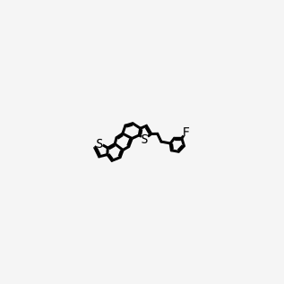 Fc1cccc(CCc2cc3ccc4cc5c(ccc6ccsc65)cc4c3s2)c1